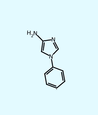 Nc1cn(-c2cc[c]cc2)cn1